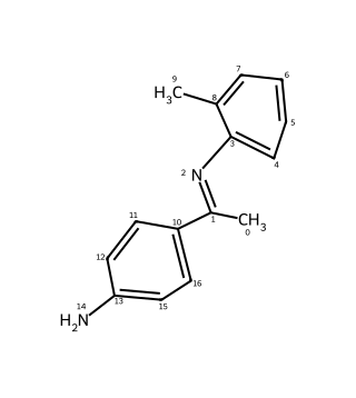 C/C(=N\c1ccccc1C)c1ccc(N)cc1